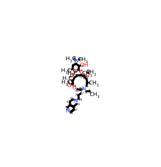 CCCN1C[C@H](C)C[C@@](C)(OC)[C@H](O[C@@H]2O[C@H](C)C[C@H](N(C)C)[C@H]2O)[C@@H](C)C(=O)C(C)(C)C(=O)OC[C@H]1CCCN1CCc2cnccc2C1